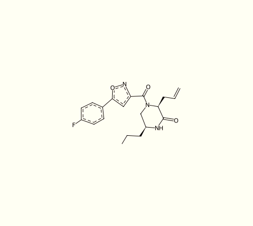 C=CC[C@H]1C(=O)N[C@@H](CCC)CN1C(=O)c1cc(-c2ccc(F)cc2)on1